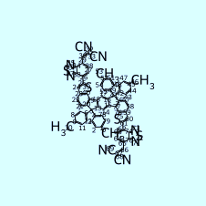 Cc1ccc(C2(c3ccc(C)cc3)c3cc4c(cc3-c3c2ccc2cc(-c5ccc(C=C(C#N)C#N)c6nsnc56)sc32)C(c2ccc(C)cc2)(c2ccc(C)cc2)c2ccc3cc(-c5ccc(C=C(C#N)C#N)c6nsnc56)sc3c2-4)cc1